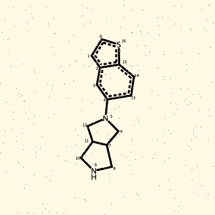 c1cc2cc(N3CC4CNCC4C3)ccc2s1